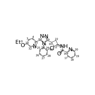 CCOc1ccc(-c2nnc(C3CC(NC(=O)c4ccccn4)C3)n2-c2ccccc2Cl)nc1